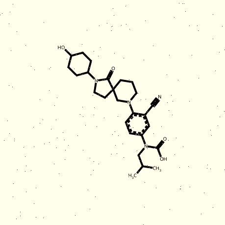 CC(C)CN(C(=O)O)c1ccc(N2CCCC3(CCN(C4CCC(O)CC4)C3=O)C2)c(C#N)c1